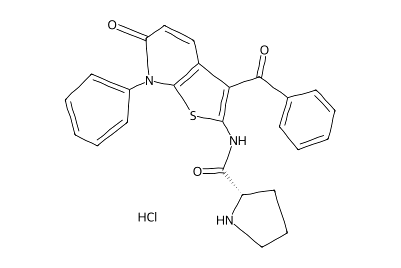 Cl.O=C(c1ccccc1)c1c(NC(=O)[C@@H]2CCCN2)sc2c1ccc(=O)n2-c1ccccc1